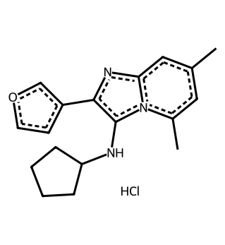 Cc1cc(C)n2c(NC3CCCC3)c(-c3ccoc3)nc2c1.Cl